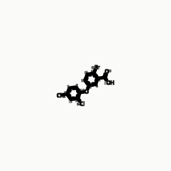 O=C(O)c1cc(Oc2ccc(Cl)cc2Cl)ccc1Br